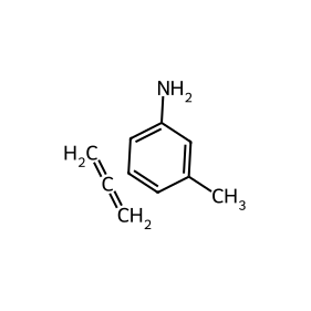 C=C=C.Cc1cccc(N)c1